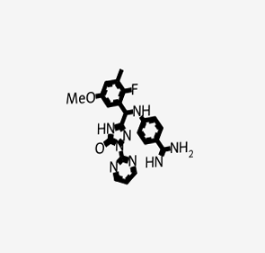 COc1cc(C)c(F)c(C(Nc2ccc(C(=N)N)cc2)c2nn(-c3ncccn3)c(=O)[nH]2)c1